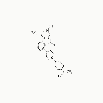 CCC1CN(C)CC(CC)N1c1ccnc(C2CCN([C@H]3CC[C@@H](C(C)C)CC3)CC2)n1